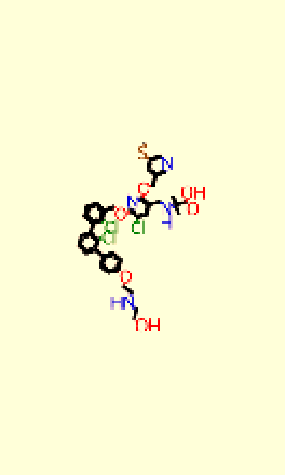 CSc1cncc(COc2nc(OCc3cccc(-c4cccc(-c5ccc(OCCNCCO)cc5)c4Cl)c3Cl)c(Cl)cc2CNC(C)(C)C(=O)O)c1